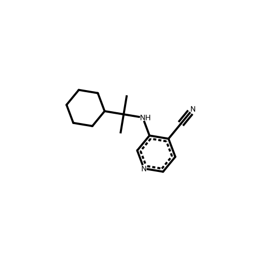 CC(C)(Nc1cnccc1C#N)C1CCCCC1